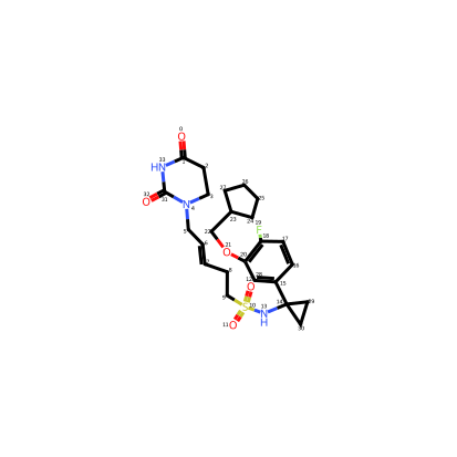 O=C1CCN(C/C=C/CCS(=O)(=O)NC2(c3ccc(F)c(OCC4CCCC4)c3)CC2)C(=O)N1